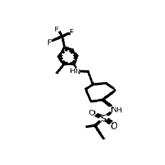 Cc1cc(C(F)(F)F)ccc1NCC1CCC(NS(=O)(=O)C(C)C)CC1